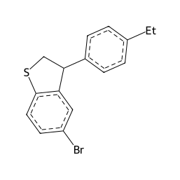 CCc1ccc(C2CSc3ccc(Br)cc32)cc1